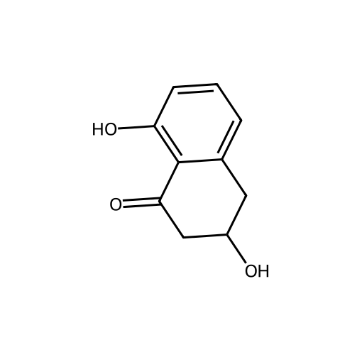 O=C1CC(O)Cc2cccc(O)c21